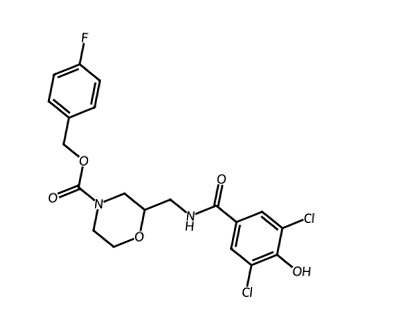 O=C(NCC1CN(C(=O)OCc2ccc(F)cc2)CCO1)c1cc(Cl)c(O)c(Cl)c1